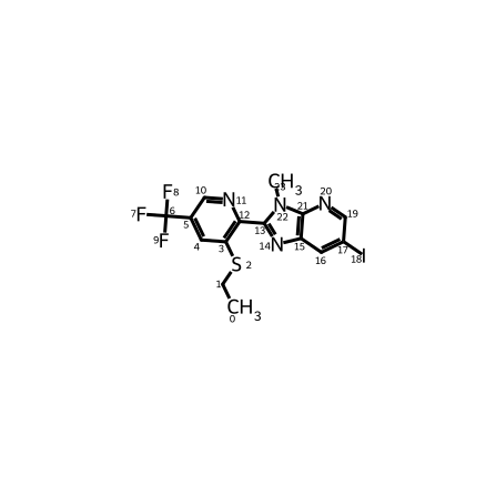 CCSc1cc(C(F)(F)F)cnc1-c1nc2cc(I)cnc2n1C